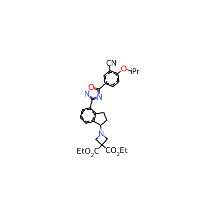 CCOC(=O)C1(C(=O)OCC)CN(C2CCc3c(-c4noc(-c5ccc(OC(C)C)c(C#N)c5)n4)cccc32)C1